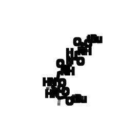 C[C@H](NC(=O)CNC(=O)CNC(=O)CNC(=O)OC(C)(C)C)C(=O)N[C@@H](C)C(=O)OC(C)(C)C